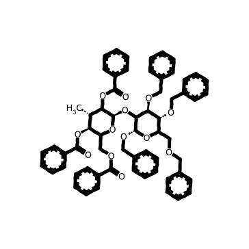 C[C@@H]1C(OC(=O)c2ccccc2)[C@@H](OC2[C@@H](OCc3ccccc3)OC(COCc3ccccc3)[C@@H](OCc3ccccc3)[C@@H]2OCc2ccccc2)OC(COC(=O)c2ccccc2)[C@H]1OC(=O)c1ccccc1